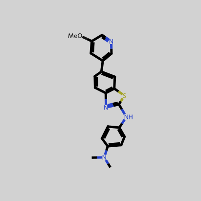 COc1cncc(-c2ccc3nc(Nc4ccc(N(C)C)cc4)sc3c2)c1